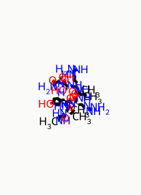 CNCC(=O)N[C@@H](CC(C)C)C(=O)N[C@@H](Cc1ccc(O)cc1)C(=O)N[C@@H](CCCNC(=N)N)C(=O)N[C@H](C(=O)N[C@@H](CCCNC(=N)N)C(=O)N[C@@H](CO)C(=O)N[C@@H](CO)C(N)=O)C(C)C